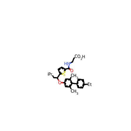 CCc1ccc(-c2c(C)cc(OC(CC(C)C)c3ccc(C(=O)NCCC(=O)O)s3)cc2C)cc1